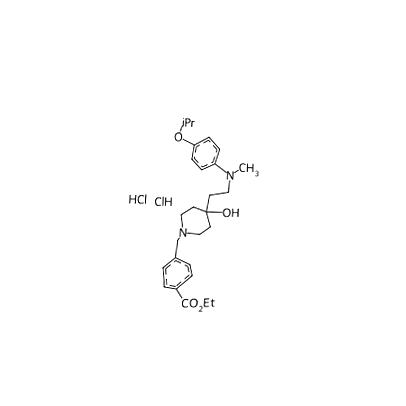 CCOC(=O)c1ccc(CN2CCC(O)(CCN(C)c3ccc(OC(C)C)cc3)CC2)cc1.Cl.Cl